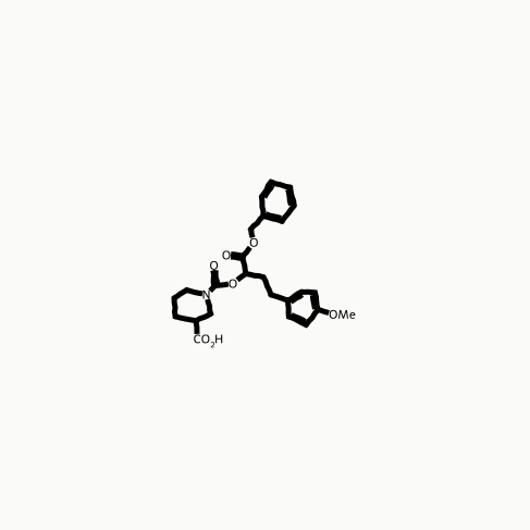 COc1ccc(CCC(OC(=O)N2CCCC(C(=O)O)C2)C(=O)OCc2ccccc2)cc1